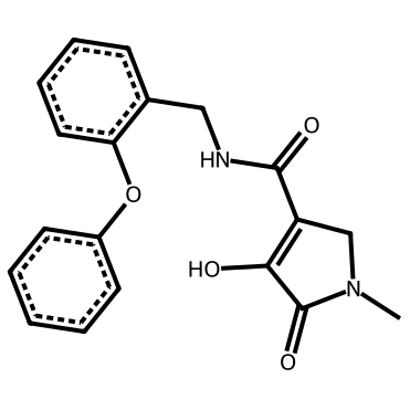 CN1CC(C(=O)NCc2ccccc2Oc2ccccc2)=C(O)C1=O